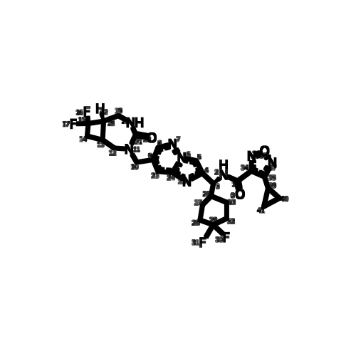 O=C(N[C@H](c1cn2ncc(CN3CC4CC(F)(F)[C@@H]4CNC3=O)cc2n1)C1CCC(F)(F)CC1)c1nonc1C1CC1